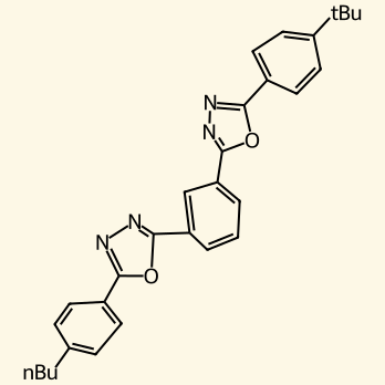 CCCCc1ccc(-c2nnc(-c3cccc(-c4nnc(-c5ccc(C(C)(C)C)cc5)o4)c3)o2)cc1